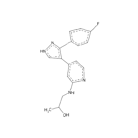 CC(O)CNc1cc(-c2c[nH]nc2-c2ccc(F)cc2)ccn1